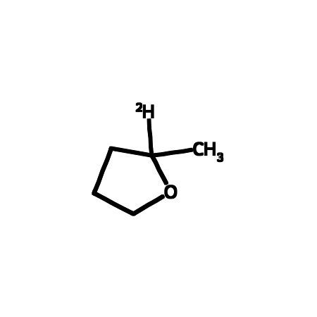 [2H]C1(C)CCCO1